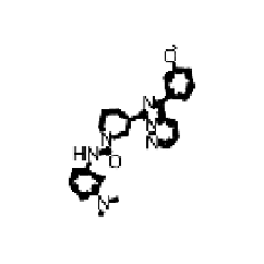 COc1cccc(-c2nc(C3CCCN(C(=O)Nc4cccc(N(C)C)c4)C3)n3ncccc23)c1